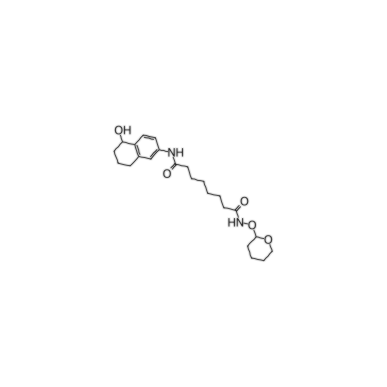 O=C(CCCCCCC(=O)Nc1ccc2c(c1)CCCC2O)NOC1CCCCO1